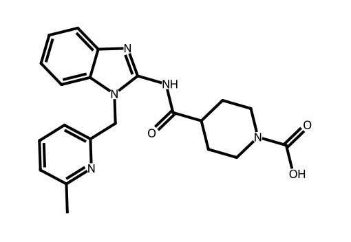 Cc1cccc(Cn2c(NC(=O)C3CCN(C(=O)O)CC3)nc3ccccc32)n1